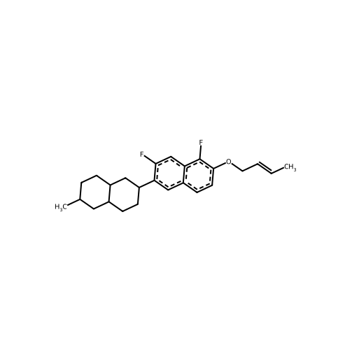 CC=CCOc1ccc2cc(C3CCC4CC(C)CCC4C3)c(F)cc2c1F